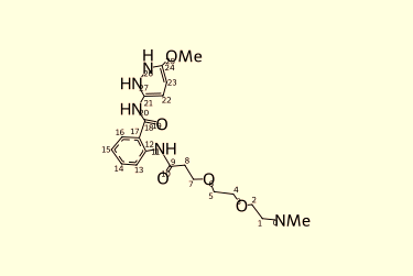 CNCCOCCOCCC(=O)Nc1ccccc1C(=O)NC1=CC=C(OC)NN1